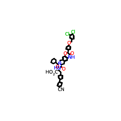 N#Cc1ccc(-c2ccc(C[C@H](NC(=O)[C@@H]3Cc4cc5c(cc4CN3C(=O)C3CCCCC3)OC(c3ccc(OCc4ccc(Cl)c(Cl)c4)cc3)C(=O)N5)C(=O)O)cc2)cc1